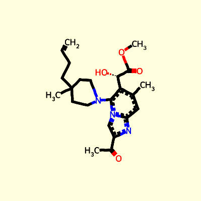 C=CCCC1(C)CCN(c2c([C@H](O)C(=O)OC)c(C)cc3nc(C(C)=O)cn23)CC1